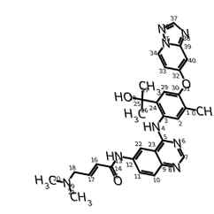 Cc1cc(Nc2ncnc3ccc(NC(=O)C=CCN(C)C)cc23)c(C(C)(C)O)cc1Oc1ccn2ncnc2c1